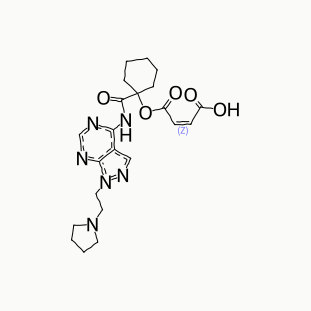 O=C(O)/C=C\C(=O)OC1(C(=O)Nc2ncnc3c2cnn3CCN2CCCC2)CCCCC1